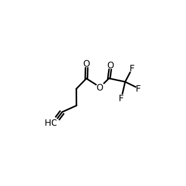 C#CCCC(=O)OC(=O)C(F)(F)F